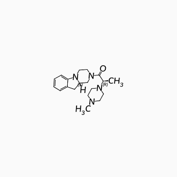 C[C@H](C(=O)N1CCN2c3ccccc3C[C@H]2C1)N1CCN(C)CC1